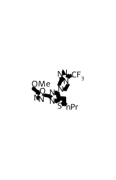 CCCc1cc2c(N3CCn4c(nnc4C(F)(F)F)C3)nc(-c3nnc(COC)o3)nc2s1